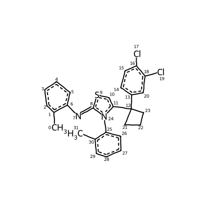 Cc1ccccc1N=c1scc(C2(c3ccc(Cl)c(Cl)c3)CCC2)n1-c1ccccc1C